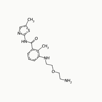 Cc1cnc(NC(=O)c2cccc(NCCOCCN)c2C)s1